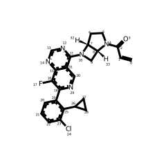 C=CC(=O)N1CC[C@@H]2[C@H]1CN2c1ncnc2c(F)c(-c3cccc(Cl)c3C3CC3)ncc12